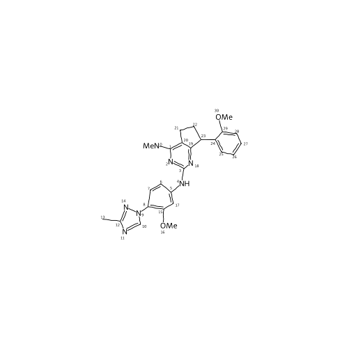 CNc1nc(Nc2ccc(-n3cnc(C)n3)c(OC)c2)nc2c1CCC2c1ccccc1OC